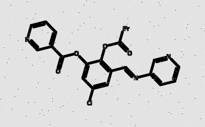 CC(C)C(=O)Oc1c(C=Nc2cccnc2)cc(Cl)cc1OC(=O)c1cccnc1